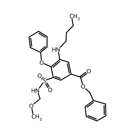 CCCCNc1cc(C(=O)OCc2ccccc2)cc(S(=O)(=O)NCOC)c1Oc1ccccc1